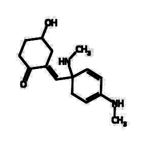 CNC1=CCC(C=C2CC(O)CCC2=O)(NC)C=C1